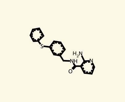 Nc1ncccc1C(=O)NCc1cccc(Sc2ccccc2)c1